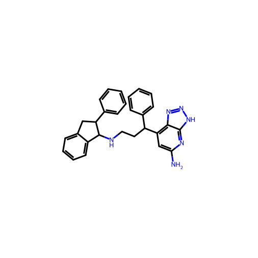 Nc1cc(C(CCNC2c3ccccc3CC2c2ccccc2)c2ccccc2)c2nn[nH]c2n1